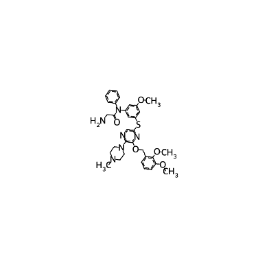 COc1cc(Sc2cnc(N3CCN(C)CC3)c(OCc3cccc(OC)c3OC)n2)cc(N(C(=O)CN)c2ccccc2)c1